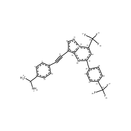 CC(N)c1ccc(C#Cc2cnn3c(C(F)(F)F)cc(-c4ccc(C(F)(F)F)cc4)nc23)cc1